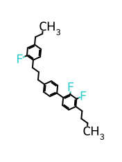 CCCCc1ccc(-c2ccc(CCCc3ccc(CCC)cc3F)cc2)c(F)c1F